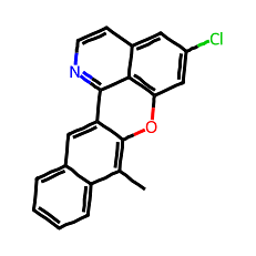 Cc1c2c(cc3ccccc13)-c1nccc3cc(Cl)cc(c13)O2